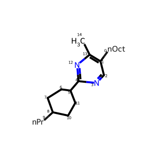 CCCCCCCCc1cnc(C2CCC(CCC)CC2)nc1C